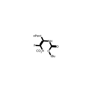 CCCCCC(NC(=O)OC(C)(C)C)=C(F)C(=O)O